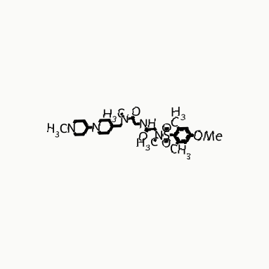 COc1cc(C)c(S(=O)(=O)N(C)CC(=O)NCC(=O)N(C)CC2CCN(C3CCN(C)CC3)CC2)c(C)c1